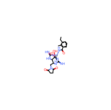 CCc1cccc(C(=O)N[C@H]2CN3C(=N)NC(CN4C(=O)CCC4=O)C4NC(=N)NC43C2(O)O)c1C